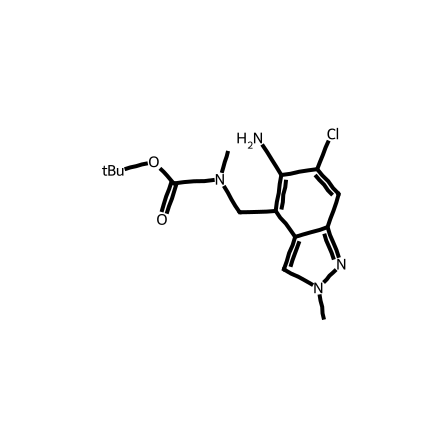 CN(Cc1c(N)c(Cl)cc2nn(C)cc12)C(=O)OC(C)(C)C